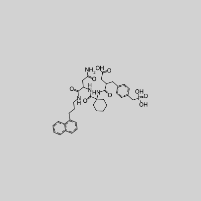 NC(=O)CC(NC(=O)C1(NC(=O)C(CC(=O)O)Cc2ccc(CP(=O)(O)O)cc2)CCCCC1)C(=O)NCCCc1cccc2ccccc12